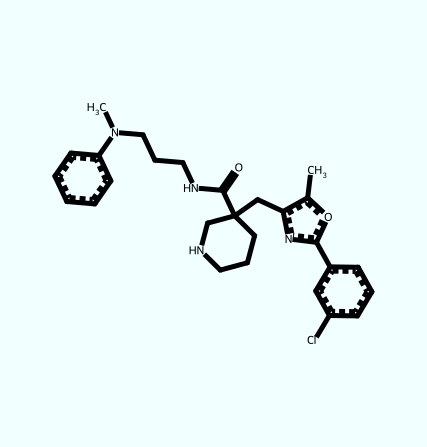 Cc1oc(-c2cccc(Cl)c2)nc1CC1(C(=O)NCCCN(C)c2ccccc2)CCCNC1